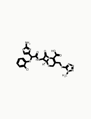 Cn1nnnc1SCC1=C(C(=O)O)N2C(=O)C(NC(=O)C(Sc3ccccc3Cl)c3csc(N)n3)[C@@H]2SC1